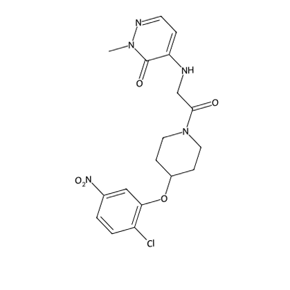 Cn1nccc(NCC(=O)N2CCC(Oc3cc([N+](=O)[O-])ccc3Cl)CC2)c1=O